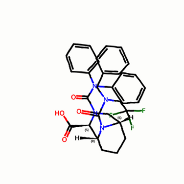 O=C(O)[C@@H]1[C@H]2CCC[C@@H](CN1C(=O)N(c1ccccc1)c1ccccc1)N2C(=O)N(Cc1ccccc1)CC(F)(F)F